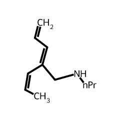 C=C/C=C(\C=C/C)CNCCC